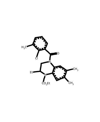 CCOC(=O)N1c2cc(C)c(C)cc2N(C(=O)c2cccc(C)c2Cl)CC1CC